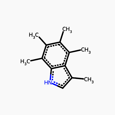 Cc1c(C)c(C)c2c(C)c[nH]c2c1C